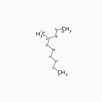 CCCC[CH]CC(C)CCC